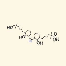 CC(C)(CO)CCCCC1CCCC(/C=C\C2CCCC(CCCCC(C)(C)C(=O)O)C2O)C1O